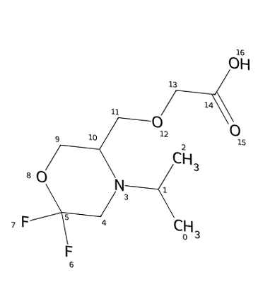 CC(C)N1CC(F)(F)OCC1COCC(=O)O